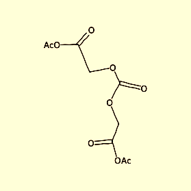 CC(=O)OC(=O)COC(=O)OCC(=O)OC(C)=O